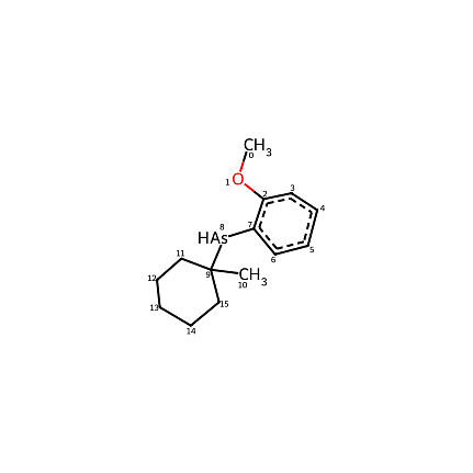 COc1ccccc1[AsH]C1(C)CCCCC1